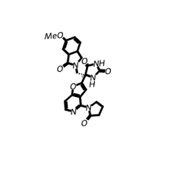 COC1=CC2C(=O)N(C[C@@]3(c4cc5c(N6CCCC6=O)nccc5o4)NC(=O)NC3=O)CC2C=C1